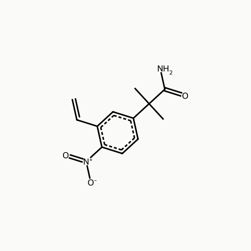 C=Cc1cc(C(C)(C)C(N)=O)ccc1[N+](=O)[O-]